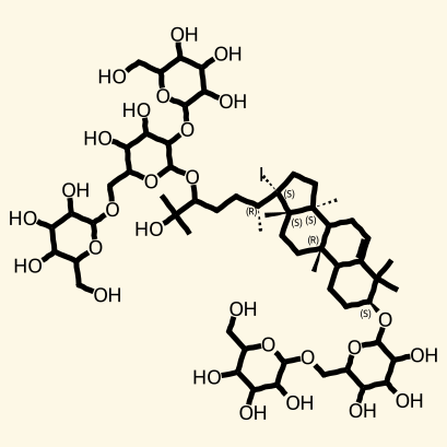 C[C@H](CCC(OC1OC(COC2OC(CO)C(O)C(O)C2O)C(O)C(O)C1OC1OC(CO)C(O)C(O)C1O)C(C)(C)O)[C@@]1(I)CC[C@@]2(C)C3CC=C4C(CC[C@H](OC5OC(COC6OC(CO)C(O)C(O)C6O)C(O)C(O)C5O)C4(C)C)[C@]3(C)CC[C@@]21C